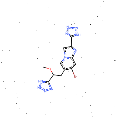 COC(Cc1cn2cc(-c3nnn[nH]3)nc2cc1Br)c1nnn[nH]1